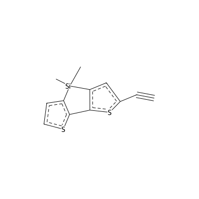 C#Cc1cc2c(s1)-c1sccc1[Si]2(C)C